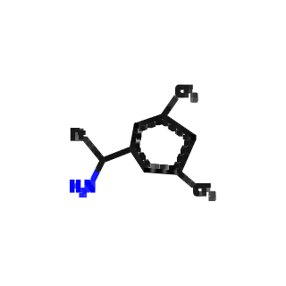 CCC(N)c1cc(C(F)(F)F)cc(C(F)(F)F)c1